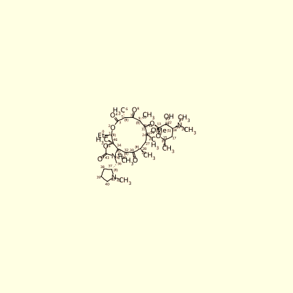 CC[C@H]1OC(=O)[C@H](C)C(=O)[C@H](C)[C@@H](O[C@@H]2O[C@H](C)C[C@H](N(C)C)[C@H]2O)[C@](C)(OC)C[C@@H](C)C(=O)[C@H](C)[C@H]2N(C[C@H]3CCCN3C)C(=O)O[C@]12C